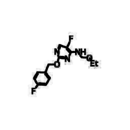 CCOCNc1nc(OCc2ccc(F)cc2)ncc1F